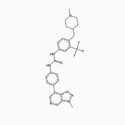 CN1CCC(Cc2ccc(NC(=O)Nc3ccc(-c4cncc5c4cnn5C)cc3)cc2C(F)(F)F)CC1